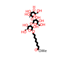 COC(=O)CCCCCCCCO[C@H]1O[C@H](CO)[C@@H](O)[C@H](O[C@@H]2O[C@H](CO)[C@@H](O)[C@H](O)[C@H]2O[C@@H]2O[C@H](CO)[C@@H](O)[C@H](O)[C@@]2(C)O)[C@H]1O